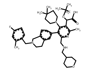 Cc1cc(F)ccc1CN1CCc2cc(-c3c(CNCC4CCOCC4)nc(C)c(C(OC(C)(C)C)C(=O)O)c3N3CCC(C)(C)CC3)ccc2C1